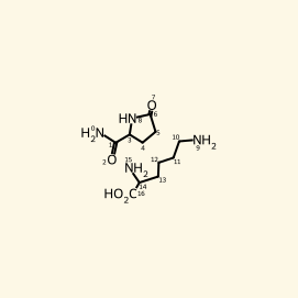 NC(=O)C1CCC(=O)N1.NCCCCC(N)C(=O)O